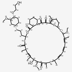 COC1CC2CCC(C)C(O)(O2)C(=O)C(=O)N2CCCCC2C(=O)OC(CCC[C@H]2CC[C@@H](OCCO)[C@H](OC)C2)CC(=O)C(C)C=C(C)C(O)C(OC)C(=O)C(C)CC(C)C=CC=CC=C1C